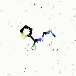 C/N=C\N=C(\Cl)c1cccs1